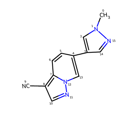 Cn1cc(-c2c[c]c3c(C#N)cnn3c2)cn1